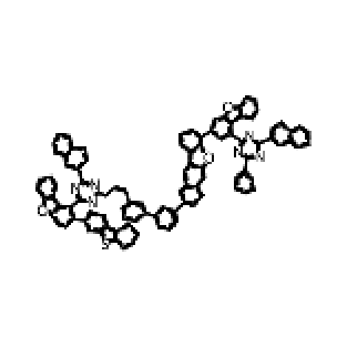 C(=C/c1cccc(-c2cccc(-c3ccc4cc5oc6c(-c7cc(-c8nc(-c9ccccc9)nc(-c9ccc%10ccccc%10c9)n8)c8c(c7)oc7ccccc78)cccc6c5cc4c3)c2)c1)/Cc1nc(-c2ccc3ccccc3c2)nc(-c2c(-c3ccc4c(c3)sc3ccccc34)ccc3oc4ccccc4c23)n1